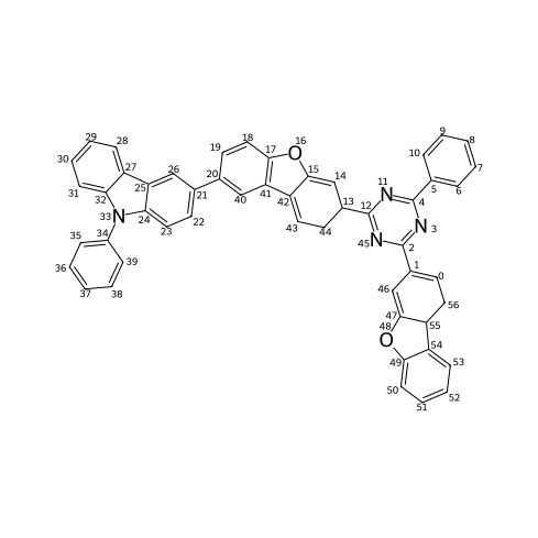 C1=C(c2nc(-c3ccccc3)nc(C3C=c4oc5ccc(-c6ccc7c(c6)c6ccccc6n7-c6ccccc6)cc5c4=CC3)n2)C=C2Oc3ccccc3C2C1